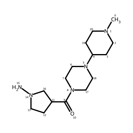 CN1CCC(N2CCN(C(=O)C3CCN(N)C3)CC2)CC1